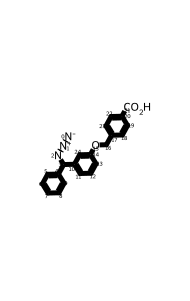 [N-]=[N+]=NC(c1ccccc1)c1cccc(OCc2ccc(C(=O)O)cc2)c1